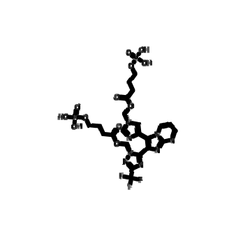 O=C(CCCOP(=O)(O)O)OCn1cnc(-c2c(-c3nc(C(F)(F)F)nn3COC(=O)CCCOP(=O)(O)O)nc3ncccn23)c1